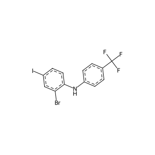 FC(F)(F)c1ccc(Nc2ccc(I)cc2Br)cc1